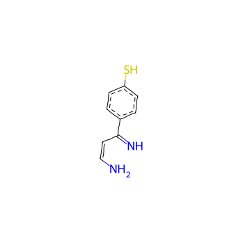 N=C(/C=C\N)c1ccc(S)cc1